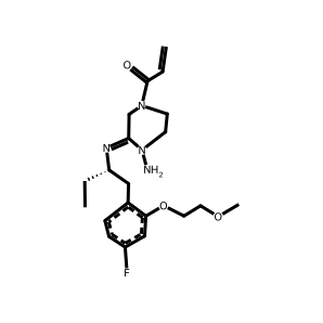 C=CC(=O)N1CCN(N)/C(=N\[C@@H](CC)Cc2ccc(F)cc2OCCOC)C1